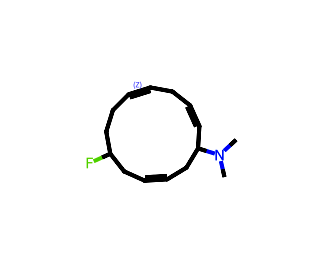 CN(C)C1C=CC/C=C\CCC(F)CC=CC1